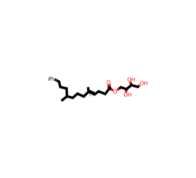 C/C(=C\CCC(=O)OCC(O)C(O)CO)CCCC(C)CCCC(C)C